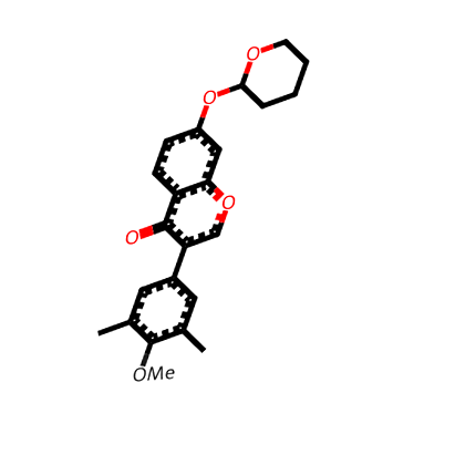 COc1c(C)cc(-c2coc3cc(OC4CCCCO4)ccc3c2=O)cc1C